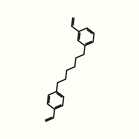 C=Cc1ccc(CCCCCCc2cccc(C=C)c2)cc1